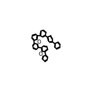 c1ccc(-c2ccc(-c3cccc(-c4cccc5c4oc4c(-c6cccc7c6oc6ccccc67)cccc45)c3)cc2)cc1